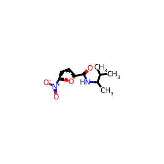 CC(C)C(C)NC(=O)c1ccc([N+](=O)[O-])o1